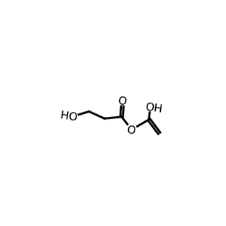 C=C(O)OC(=O)CCO